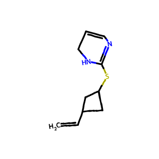 C=CC1CC(SC2=NC=CCN2)C1